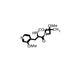 COc1cnccc1CC(NC(=O)O)C(=O)N1CC(C)(OC)C1